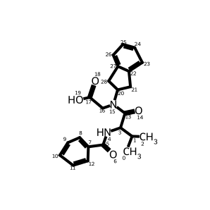 CC(C)C(NC(=O)c1ccccc1)C(=O)N(CC(=O)O)C1Cc2ccccc2C1